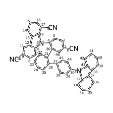 N#Cc1ccc(-n2c3ccc(C#N)cc3c3cccc(C#N)c32)c(-c2ccccc2-c2ccc(-n3c4ccccc4c4ccccc43)cc2)c1